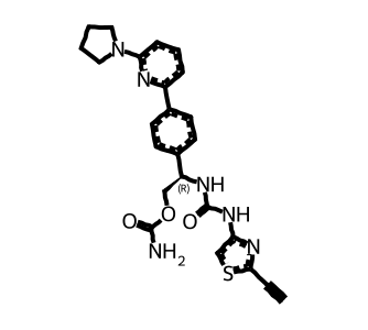 C#Cc1nc(NC(=O)N[C@@H](COC(N)=O)c2ccc(-c3cccc(N4CCCC4)n3)cc2)cs1